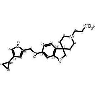 O=C(O)CCN1CCC2(CC1)COc1cc(OCc3cc(C4CC4)cs3)ccc12